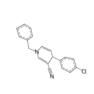 N#CC1=CN(Cc2ccccc2)C=CC1c1ccc(Cl)cc1